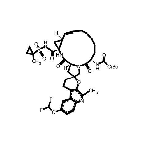 Cc1nc2ccc(OC(F)F)cc2c2c1O[C@]1(CC2)C[C@H]2C(=O)N[C@]3(C(=O)NS(=O)(=O)C4(C)CC4)C[C@H]3/C=C\CCCCC[C@H](NC(=O)OCC(C)C)C(=O)N2C1